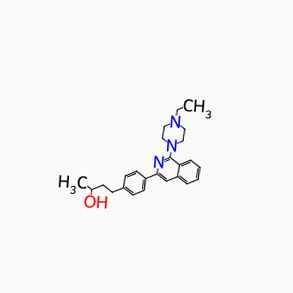 CCN1CCN(c2nc(-c3ccc(CCC(C)O)cc3)cc3ccccc23)CC1